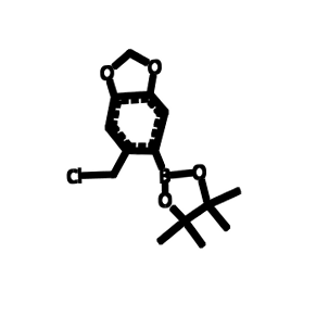 CC1(C)OB(c2cc3c(cc2CCl)OCO3)OC1(C)C